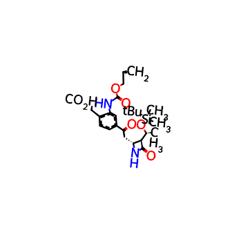 C=CCOC(=O)Nc1cc(C(=O)C[C@H]2NC(=O)[C@@H]2[C@@H](C)O[Si](C)(C)C(C)(C)C)ccc1CC(=O)O